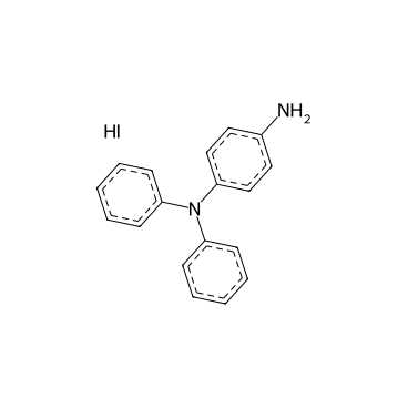 I.Nc1ccc(N(c2ccccc2)c2ccccc2)cc1